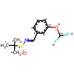 CC(C)(C)[S@@+]([O-])N=Cc1cccc(OC(F)F)c1